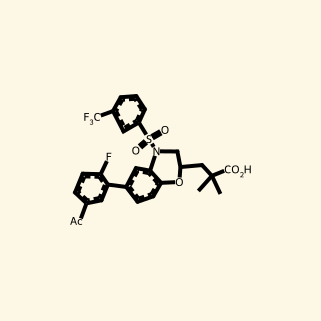 CC(=O)c1ccc(F)c(-c2ccc3c(c2)N(S(=O)(=O)c2cccc(C(F)(F)F)c2)CC(CC(C)(C)C(=O)O)O3)c1